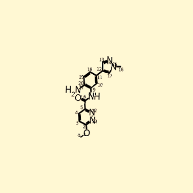 COc1ccc(C(=O)Nc2cc(-c3cnn(C)c3)ccc2N)nn1